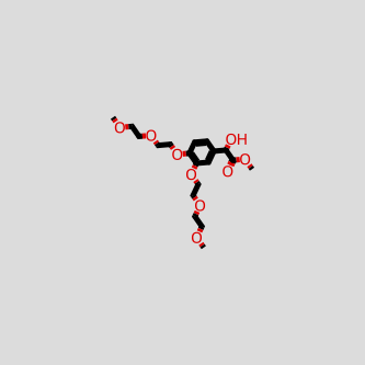 COCCOCCOc1ccc(C(O)C(=O)OC)cc1OCCOCCOC